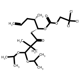 C=CC[C@H](C)[C@@H](CC(=O)C(C)(C)C(OC(C)C)OC(C)C)OC(=O)OCC(Cl)(Cl)Cl